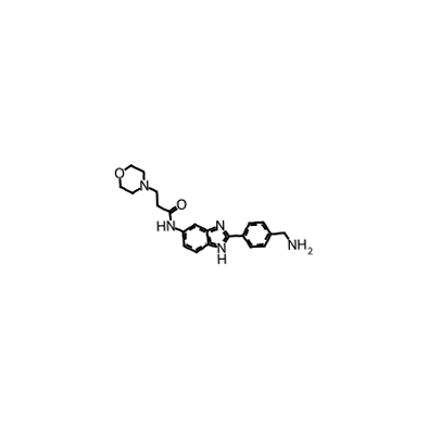 NCc1ccc(-c2nc3cc(NC(=O)CCN4CCOCC4)ccc3[nH]2)cc1